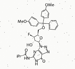 COc1ccc(C(OC[C@H]2O[C@@H](n3nnc4c(=O)[nH]c(NC(=O)C(C)C)nc43)[C@H](O)[C@H]2F)(c2ccccc2)c2ccc(OC)cc2)cc1